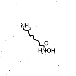 NCCCCCCCC(=O)NO